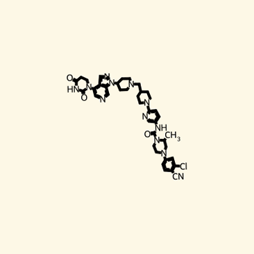 CC1CN(c2ccc(C#N)c(Cl)c2)CCN1C(=O)Nc1ccc(N2CCC(CN3CCC(n4ncc5c(N6CCC(=O)NC6=O)cncc54)CC3)CC2)nc1